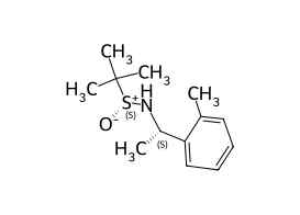 Cc1ccccc1[C@H](C)N[S@+]([O-])C(C)(C)C